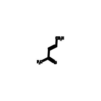 O=C(O)/C=C/C(=O)C(F)(F)F